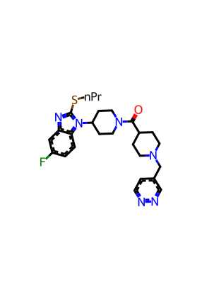 CCCSc1nc2cc(F)ccc2n1C1CCN(C(=O)C2CCN(Cc3ccnnc3)CC2)CC1